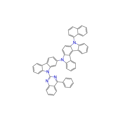 c1ccc(-c2nc(-n3c4ccccc4c4ccc(-n5c6ccccc6c6c7c8ccccc8n(-c8cccc9ccccc89)c7ccc65)cc43)nc3ccccc23)cc1